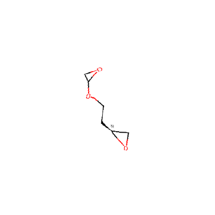 C(C[C@H]1CO1)OC1CO1